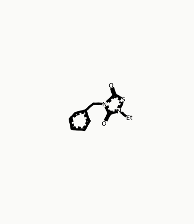 CCn1sc(=O)n(Cc2ccccc2)c1=O